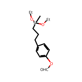 CCO[Si](C)(CCCc1ccc(OC=O)cc1)OCC